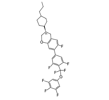 CCCC1CCC([C@@H]2COc3cc(-c4cc(F)c(C(F)(F)Oc5cc(F)c(F)c(F)c5)c(F)c4)c(F)cc3C2)CC1